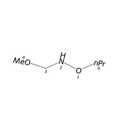 CCCONCOC